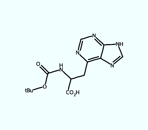 CC(C)(C)OC(=O)NC(Cc1ncnc2[nH]cnc12)C(=O)O